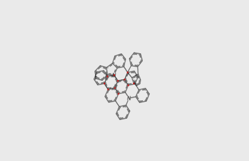 c1ccc(-c2ccc(-c3ccccc3N(c3ccc4c(c3)C3(c5ccccc5-c5ccccc53)c3cccc5c6ccccc6n-4c35)c3ccccc3-c3cccc(-c4ccccc4)c3)cc2)cc1